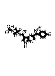 Cn1nc(-c2cnc3[nH]cc(C(=O)NC4(C)CN(C(=O)O)C4)c3n2)c2ccc(F)cc21